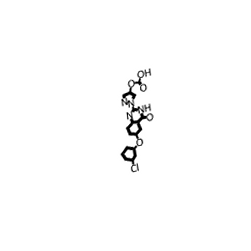 O=C(O)Oc1cnn(-c2nc3ccc(Oc4cccc(Cl)c4)cc3c(=O)[nH]2)c1